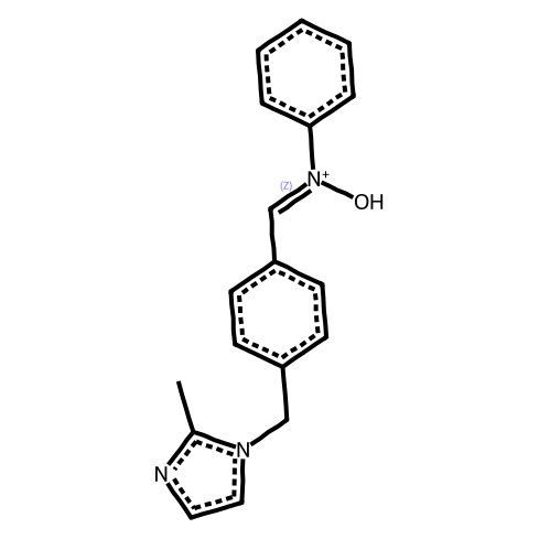 Cc1nccn1Cc1ccc(/C=[N+](\O)c2ccccc2)cc1